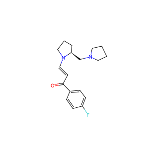 O=C(/C=C/N1CCC[C@H]1CN1CCCC1)c1ccc(F)cc1